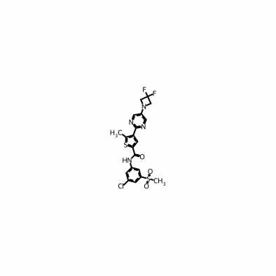 Cc1sc(C(=O)Nc2cc(Cl)cc(S(C)(=O)=O)c2)cc1-c1ncc(N2CC(F)(F)C2)cn1